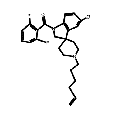 C=CCCCCN1CCC2(CC1)CN(C(=O)c1c(F)cccc1F)c1ccc(Cl)cc12